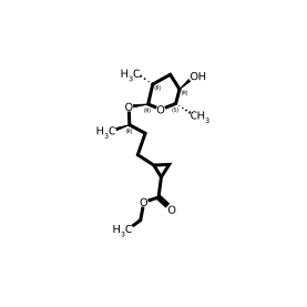 CCOC(=O)C1CC1CC[C@@H](C)O[C@@H]1O[C@@H](C)[C@H](O)C[C@H]1C